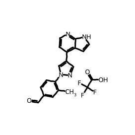 Cc1cc(C=O)ccc1-n1cc(-c2ccnc3[nH]ccc23)cn1.O=C(O)C(F)(F)F